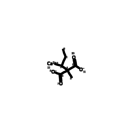 CCC(C)C(C)(C(=O)[O-])C(=O)[O-].[Ca+2]